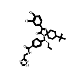 CCC[C@H](c1ccc(C(=O)NCc2nn[nH]n2)cc1)N1C(=O)C(c2ccc(Cl)c(Cl)c2)=NC12CCC(C(C)(C)C)CC2